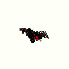 COc1ccc(CN(Cc2ccc(OC)cc2)S(=O)(=O)c2c(S(=O)(=O)CCNC(=O)O)ccc(-c3ccccc3NC(=O)CNC(=O)OC(C)(C)C)c2-c2nnn(Cc3ccc(OC)cc3)n2)cc1